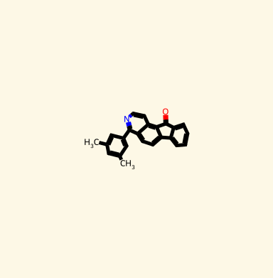 Cc1cc(C)cc(-c2nccc3c4c(ccc23)-c2ccccc2C4=O)c1